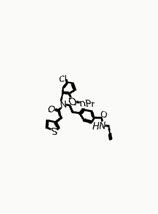 C#CCNC(=O)c1ccc(CCN(Cc2cc(Cl)ccc2OCCC)C(=O)Cc2ccsc2)cc1